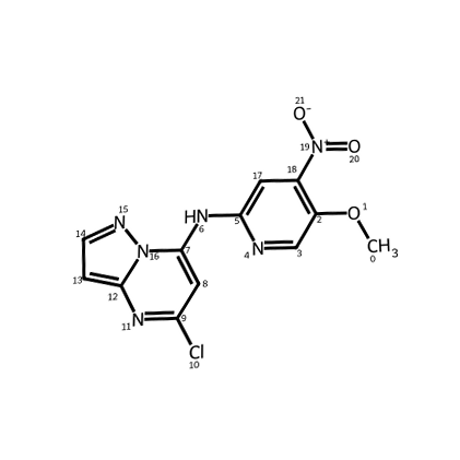 COc1cnc(Nc2cc(Cl)nc3ccnn23)cc1[N+](=O)[O-]